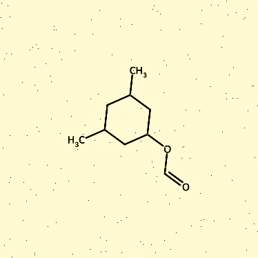 CC1CC(C)CC(OC=O)C1